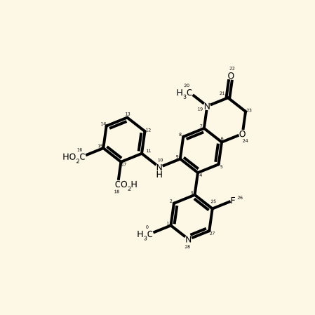 Cc1cc(-c2cc3c(cc2Nc2cccc(C(=O)O)c2C(=O)O)N(C)C(=O)CO3)c(F)cn1